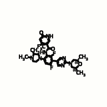 CC1CN(c2cc(F)c(-c3cnc(N4C[C@H](C)O[C@@H](C)C4)nc3)c(F)c2NC(=O)c2c[nH]c(=O)cc2C(F)(F)F)CCN1C